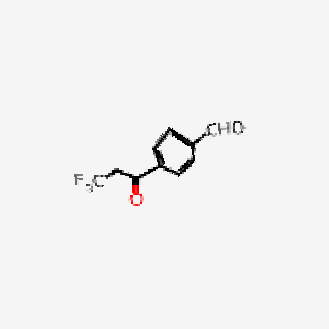 O=[C]c1ccc(C(=O)CC(F)(F)F)cc1